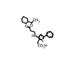 CC(OC(=O)CCNc1cc(-c2ccccc2)sc1CC(=O)O)C1CCCCC1